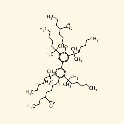 CCCCCC(C)(C)c1cc(-c2cc(C(C)(C)CCCCC)c(OCCCC(CCC)C3CO3)c(C(C)(C)CCCCC)c2)cc(C(C)(C)CCCCC)c1OCCCC(CCC)C1CO1